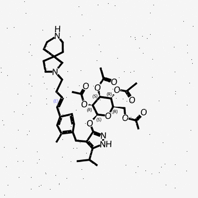 CC(=O)OC[C@H]1O[C@@H](Oc2n[nH]c(C(C)C)c2Cc2ccc(/C=C/CCN3CCC4(CCNCC4)C3)cc2C)[C@H](OC(C)=O)[C@@H](OC(C)=O)[C@@H]1OC(C)=O